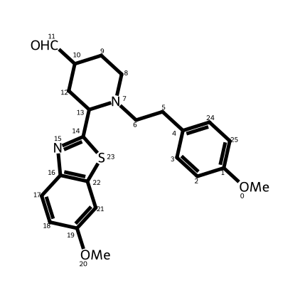 COc1ccc(CCN2CCC(C=O)CC2c2nc3ccc(OC)cc3s2)cc1